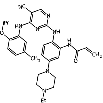 C=CC(=O)Nc1cc(N2CCN(CC)CC2)ccc1Nc1ncc(C#N)c(Nc2cc(C)ccc2OC(C)C)n1